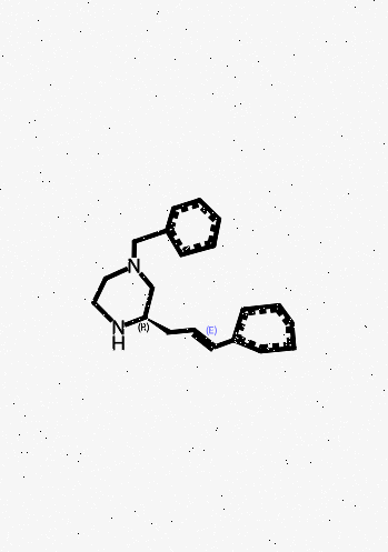 C(=C\c1ccccc1)/C[C@@H]1CN(Cc2ccccc2)CCN1